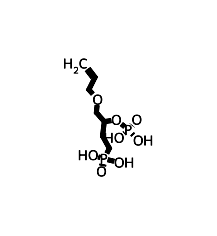 C=CCOCC(CCP(=O)(O)O)OP(=O)(O)O